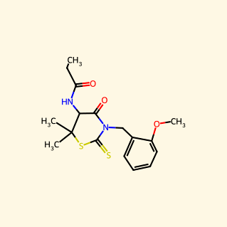 CCC(=O)NC1C(=O)N(Cc2ccccc2OC)C(=S)SC1(C)C